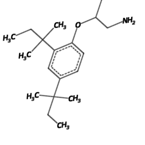 CCC(CN)Oc1ccc(C(C)(C)CC)cc1C(C)(C)CC